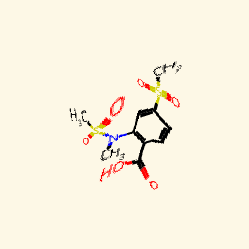 CN(c1cc(S(C)(=O)=O)ccc1C(=O)O)S(C)(=O)=O